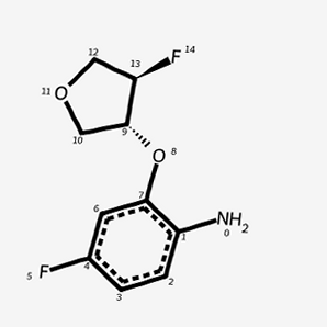 Nc1ccc(F)cc1O[C@@H]1COC[C@H]1F